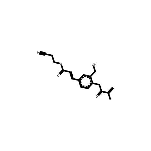 C=C(C)C(=O)Cc1ccc(/C=C/C(=O)OCCC#N)cc1CO